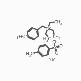 CC[N+](CC)(CC)Cc1ccccc1.Cc1ccc(S(=O)(=O)Cl)cc1.[Cl-].[Na+].[OH-]